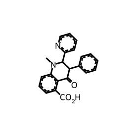 CN1c2cccc(C(=O)O)c2C(=O)C(c2ccccc2)C1c1ccccn1